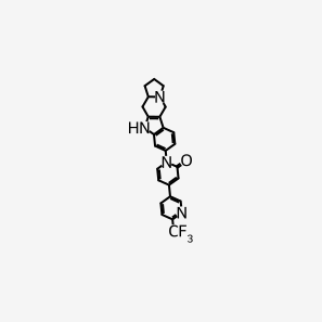 O=c1cc(-c2ccc(C(F)(F)F)nc2)ccn1-c1ccc2c3c([nH]c2c1)CC1CCCN1C3